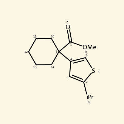 COC(=O)C1(c2csc(C(C)C)c2)CCCCC1